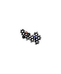 c1ccc(N(c2ccc(-c3ccc4c(c3)C3(c5ccccc5Oc5c3ccc3ccccc53)c3ccccc3-4)c3ccccc23)c2cc3ccccc3c3ccccc23)cc1